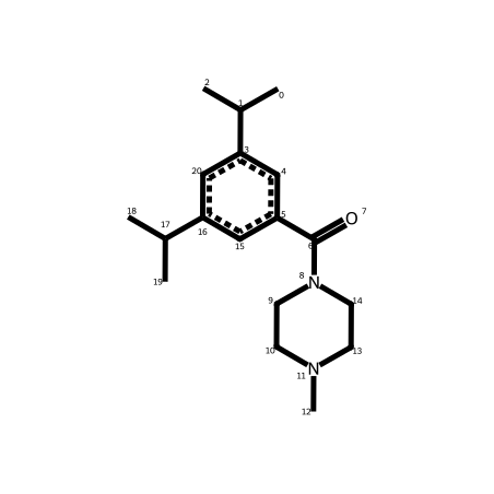 CC(C)c1cc(C(=O)N2CCN(C)CC2)cc(C(C)C)c1